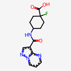 O=C(NC1CCC(F)(C(=O)O)CC1)c1cnn2cccnc12